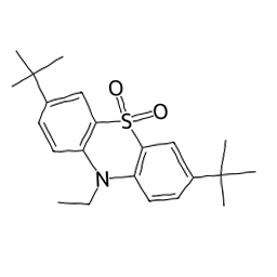 CCN1c2ccc(C(C)(C)C)cc2S(=O)(=O)c2cc(C(C)(C)C)ccc21